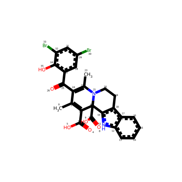 CC1=C(C(=O)O)C2(C(=O)O)c3[nH]c4ccccc4c3CCN2C(C)=C1C(=O)c1cc(Br)cc(Br)c1O